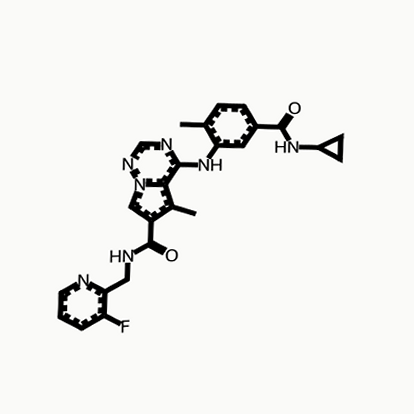 Cc1ccc(C(=O)NC2CC2)cc1Nc1ncnn2cc(C(=O)NCc3ncccc3F)c(C)c12